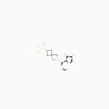 Cc1c(C)c2c(N3CC4(CC(N(C)S(N)(=O)=O)C4)C3)ncnn2c1Cl